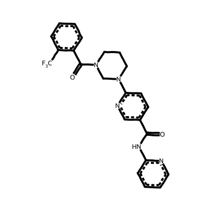 O=C(Nc1ccccn1)c1ccc(N2CCCN(C(=O)c3ccccc3C(F)(F)F)C2)nc1